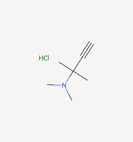 C#CC(C)(C)N(C)C.Cl